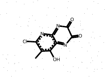 Cc1c(Cl)nc2c(c1O)=NC(=O)C(=O)N=2